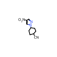 N#CC1CCC(n2cc([N+](=O)[O-])cn2)CC1